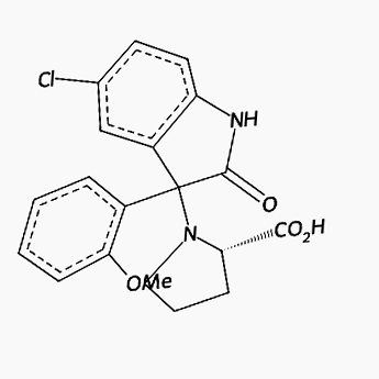 COc1ccccc1C1(N2CCC[C@H]2C(=O)O)C(=O)Nc2ccc(Cl)cc21